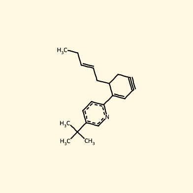 CCC=CCC1CC#CC=C1c1ccc(C(C)(C)C)cn1